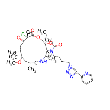 B[C@@H]1CC(=O)[C@](C)(F)C(=O)O[C@H](CC)[C@@]2(C)OC(=O)N(CCCCn3cc(-c4ccccn4)nn3)[C@@H]2[C@@H](C)NC[C@H](C)C[C@@]1(C)OC